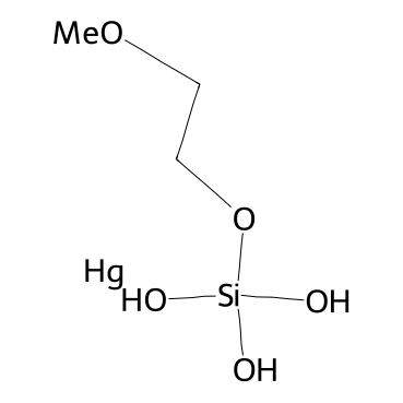 COCCO[Si](O)(O)O.[Hg]